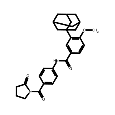 COc1ccc(C(=O)Nc2ccc(C(=O)N3CCCC3=O)cc2)cc1C12CC3CC(CC(C3)C1)C2